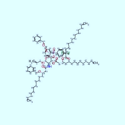 C=CCO[C@@H]1O[C@H](COCOCc2ccccc2)[C@@H](OP(=O)(c2ccccc2)c2ccccc2)[C@H](OC(=O)C[C@@H](CCCCCCCCCCC)OC(=O)C(F)(F)CCCCCCCCCCCC)[C@H]1NC(=O)C[C@@H](CCCCCCCCCCC)OCc1ccccc1